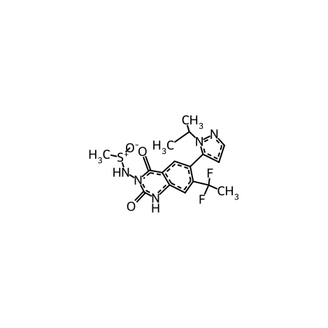 CC(C)n1nccc1-c1cc2c(=O)n(N[S+](C)[O-])c(=O)[nH]c2cc1C(C)(F)F